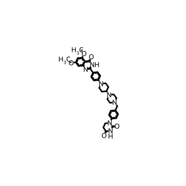 COc1cc(OC)c2c(=O)[nH]c(-c3ccc(N4CCC(N5CCN(Cc6ccc(N7CCC(=O)NC7=O)cc6)CC5)CC4)cc3)nc2c1